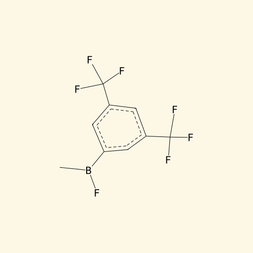 CB(F)c1cc(C(F)(F)F)cc(C(F)(F)F)c1